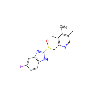 COc1c(C)cnc(C[S@+]([O-])c2nc3cc(I)ccc3[nH]2)c1C